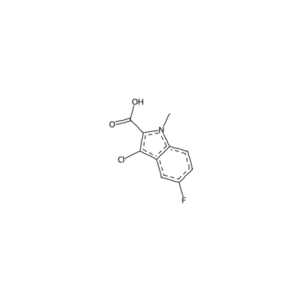 Cn1c(C(=O)O)c(Cl)c2cc(F)ccc21